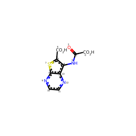 O=C(O)C(=O)Nc1c(C(=O)O)sc2nccnc12